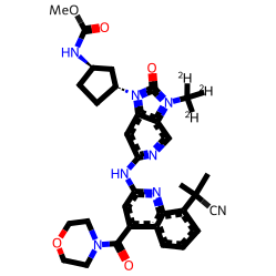 [2H]C([2H])([2H])n1c(=O)n([C@@H]2CC[C@@H](NC(=O)OC)C2)c2cc(Nc3cc(C(=O)N4CCOCC4)c4cccc(C(C)(C)C#N)c4n3)ncc21